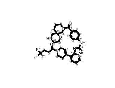 O=C(CCC(F)(F)F)N1CC=C(c2cccn3nc(Nc4ccc(C(=O)N5CCCC6(CNCCO6)C5)cc4)nc23)CC1